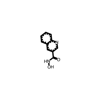 O=C(NO)c1cnc2ccccc2c1